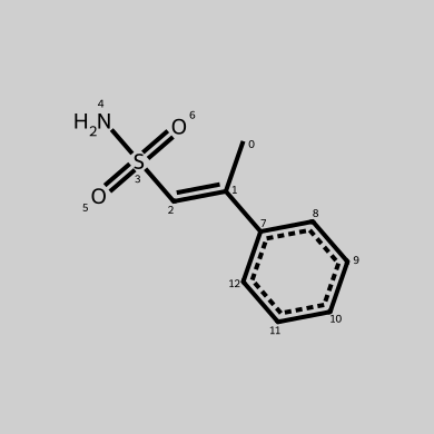 CC(=CS(N)(=O)=O)c1ccccc1